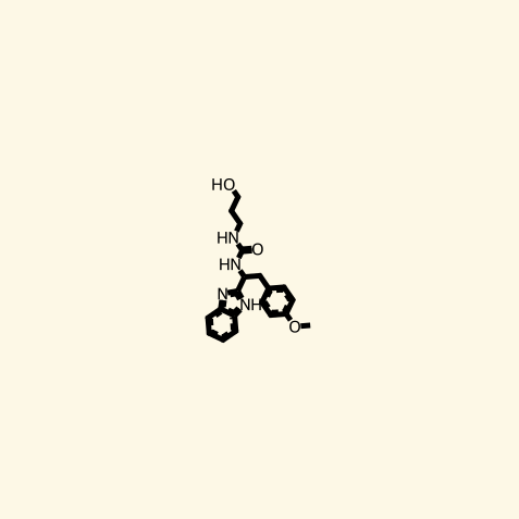 COc1ccc(CC(NC(=O)NCCCO)c2nc3ccccc3[nH]2)cc1